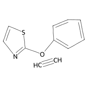 C#C.c1ccc(Oc2nccs2)cc1